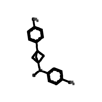 Cc1ccc([S+]([O-])C23CC(c4ccc(C)cc4)(C2)C3)cc1